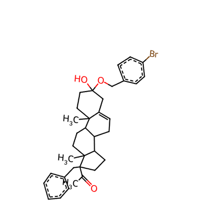 CC(=O)C1(Cc2ccccc2)CCC2C3CC=C4CC(O)(OCc5ccc(Br)cc5)CCC4(C)C3CCC21C